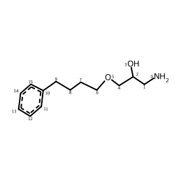 NCC(O)COCCCCc1ccccc1